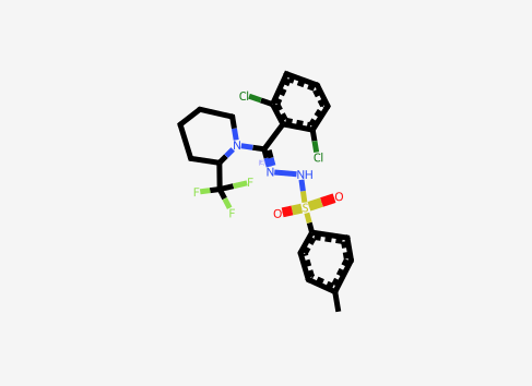 Cc1ccc(S(=O)(=O)N/N=C(\c2c(Cl)cccc2Cl)N2CCCCC2C(F)(F)F)cc1